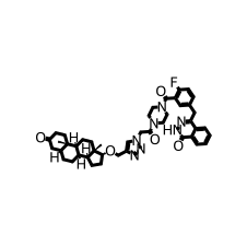 C[C@]12CCC(=O)C[C@@H]1CC[C@@H]1[C@@H]2CC[C@]2(C)[C@@H](OCc3cn(CC(=O)N4CCN(C(=O)c5cc(Cc6n[nH]c(=O)c7ccccc67)ccc5F)CC4)nn3)CC[C@@H]12